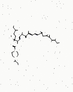 CCC(O)CCC(C)(OC)C(/C=C/C(C)C(=O)/C(C)=C/C=C/C(C)(O)CC1OC1C(C)C(O)CC)OC(=O)N1CCN(C(C)CC)CC1